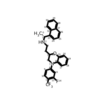 C[C@@H](NCCC1CN(c2ccc(C(F)(F)F)c(F)c2)c2ccccc2O1)c1cccc2ccccc12